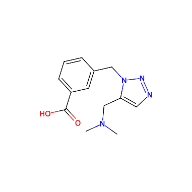 CN(C)Cc1cnnn1Cc1cccc(C(=O)O)c1